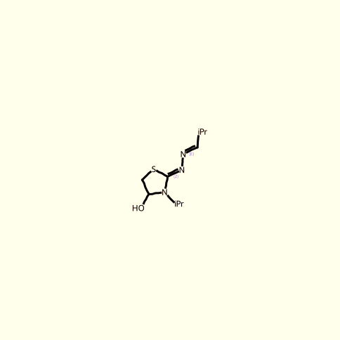 CC(C)/C=N/N=C1\SCC(O)N1C(C)C